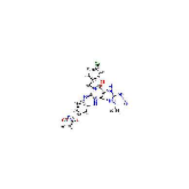 CCN/C(=N\C#N)Nc1c[nH]/c(=N\c2ccc(Oc3ccon3)cc2)n(Cc2ccc(Cl)cc2)c1=O